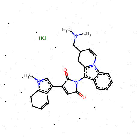 CN(C)CC1C=Cn2c(c(N3C(=O)C=C(c4cn(C)c5c4C=CCC5)C3=O)c3ccccc32)C1.Cl